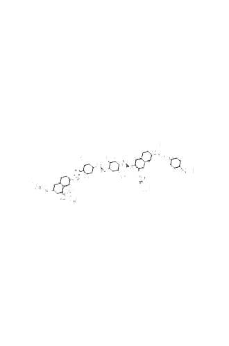 COc1cc(N=Nc2cc(OC)c(N=Nc3c(SOOO)cc4cc(NCOc5ccc(N)cc5)ccc4c3O)cc2C)ccc1N=Nc1ccc2cc(SOOO)cc(S(=O)(=O)O)c2c1